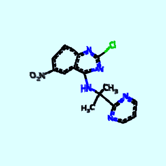 CC(C)(Nc1nc(Cl)nc2ccc([N+](=O)[O-])cc12)c1ncccn1